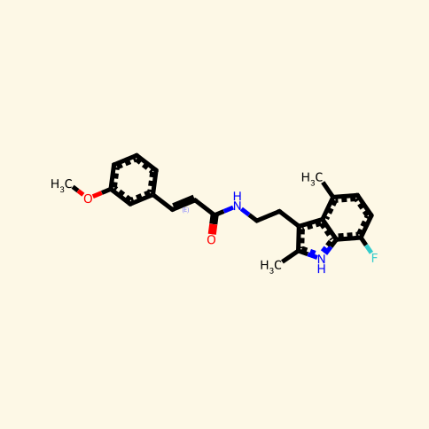 COc1cccc(/C=C/C(=O)NCCc2c(C)[nH]c3c(F)ccc(C)c23)c1